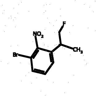 C[C](CF)c1cccc(Br)c1[N+](=O)[O-]